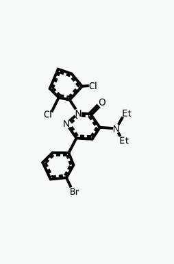 CCN(CC)c1cc(-c2cccc(Br)c2)nn(-c2c(Cl)cccc2Cl)c1=O